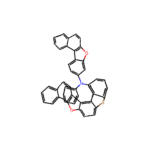 c1ccc(N(c2ccc3c(c2)oc2ccc4ccccc4c23)c2cccc3sc4ccc5oc6c7ccccc7ccc6c5c4c23)cc1